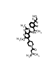 COc1nc2nc(C)nc(N[C@H](C)c3cccc(C(F)(F)CO)c3F)c2cc1C1=CCN(C(=O)CN(C)C)CC1